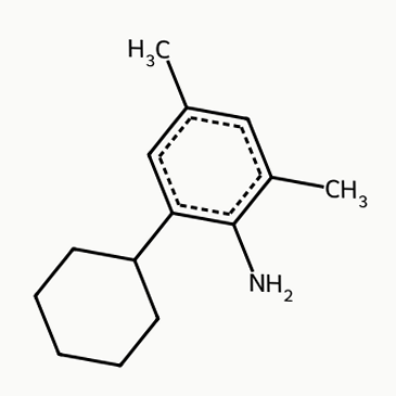 Cc1cc(C)c(N)c(C2CCCCC2)c1